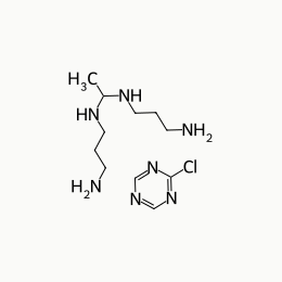 CC(NCCCN)NCCCN.Clc1ncncn1